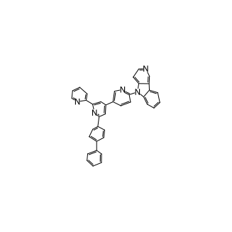 c1ccc(-c2ccc(-c3cc(-c4ccc(-n5c6ccccc6c6cnccc65)nc4)cc(-c4ccccn4)n3)cc2)cc1